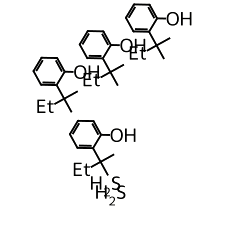 CCC(C)(C)c1ccccc1O.CCC(C)(C)c1ccccc1O.CCC(C)(C)c1ccccc1O.CCC(C)(C)c1ccccc1O.S.S